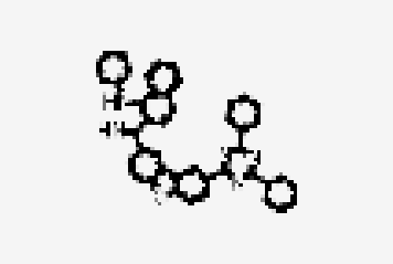 N=C(c1ccc2oc3ccc(-c4nc(-c5ccccc5)nc(-c5ccccc5)n4)cc3c2c1)c1ccc2ccccc2c1Nc1ccccc1